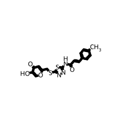 Cc1ccc(/C=C/C(=O)Nc2nnc(SCc3cc(=O)c(O)co3)s2)cc1